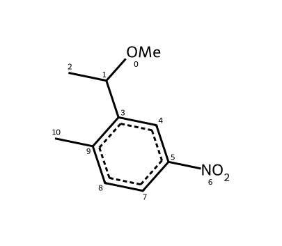 COC(C)c1cc([N+](=O)[O-])ccc1C